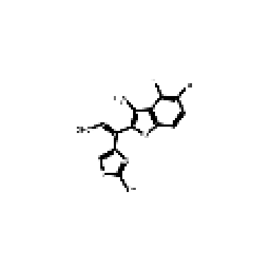 CC(C)c1nc(C(=CC=O)c2oc3ccc(O)c(Cl)c3c2N)cs1